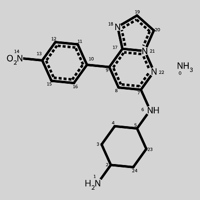 N.NC1CCC(Nc2cc(-c3ccc([N+](=O)[O-])cc3)c3nccn3n2)CC1